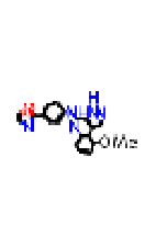 COc1cccc2nc(Nc3ccc(-c4ncco4)cc3)c3[nH]ncc3c12